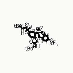 CC(C)(C)NC(=O)Cn1c(-c2ccc(OC(F)(F)F)cc2)c(S(C)(=O)=O)c2cc(C(C)(C)C(=O)NC(C)(C)C)ccc21